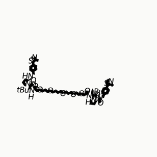 Cc1ncsc1-c1ccc(CNC(=O)[C@@H]2CCCN2C(=O)C(NC(=O)COCCOCCCOCCCCOCCCOCC(=O)N[C@H](C(=O)N2CCC[C@H]2C(=O)NCc2ccc(-c3scnc3C)cc2)C(C)(C)C)C(C)(C)C)cc1